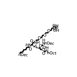 CCCCCCCCCCCCCCCC(=O)N[C@@H](CSC[C@@H](COC(=O)NCCCCCCCC)OC(=O)NCCCCCCCCCC)C(=O)NCCOCCOCCOCCP(=O)(O)O